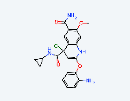 COc1cc2c(cc1C(N)=O)C(Cl)(C(=O)NC1CC1)C=C(Oc1ccccc1N)N2